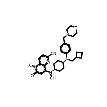 Cn1c(=O)cc(N(C)[C@H]2CC[C@H](N(CC3CCC3)c3ccc(CN4CCOCC4)cc3)CC2)c2nc(C#N)ccc21